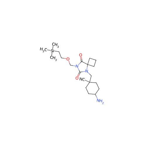 C[Si](C)(C)CCOCN1C(=O)N(CC2(C#N)CCC(N)CC2)C2(CCC2)C1=O